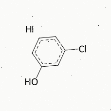 I.Oc1cccc(Cl)c1